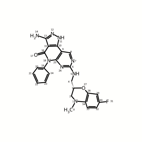 CN1C[C@H](CNc2ncc3c4[nH]nc(N)c4c(=O)n(-c4ccccc4)c3n2)Oc2cc(F)ccc21